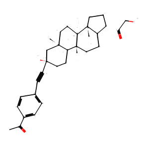 CC(=O)c1ccc(C#C[C@@]2(O)CC[C@@]3(C)[C@@H](CC[C@@H]4[C@@H]3CC[C@]3(C)[C@@H](C(=O)CO)CC[C@@H]43)C2)cc1